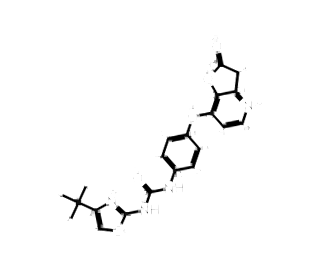 CC(C)(C)c1csc(NC(=O)Nc2ccc(Oc3ccnc4c3OC(=O)C4)cc2)n1